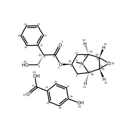 CN1[C@@H]2C[C@@H](OC(=O)[C@H](CO)c3ccccc3)C[C@H]1[C@@H]1O[C@@H]12.O=C(O)c1ccc(O)cc1